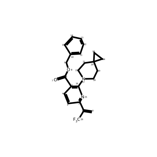 C=C(c1ccc(C(=O)OCc2ccccc2)c(N2CCC3(CC2)CC3)n1)C(F)(F)F